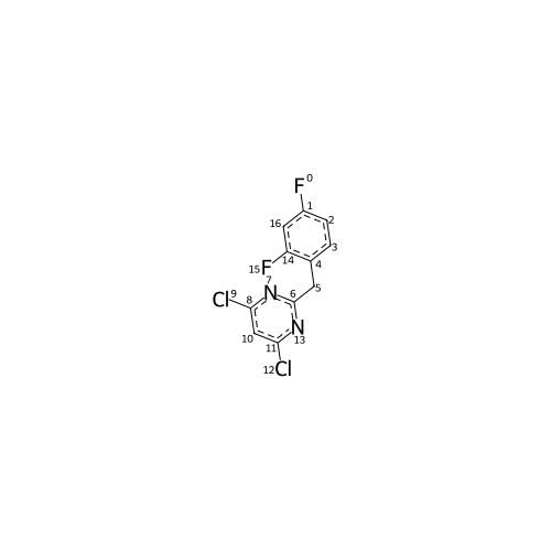 Fc1ccc(Cc2nc(Cl)cc(Cl)n2)c(F)c1